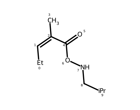 CCC=C(C)C(=O)ONCC(C)C